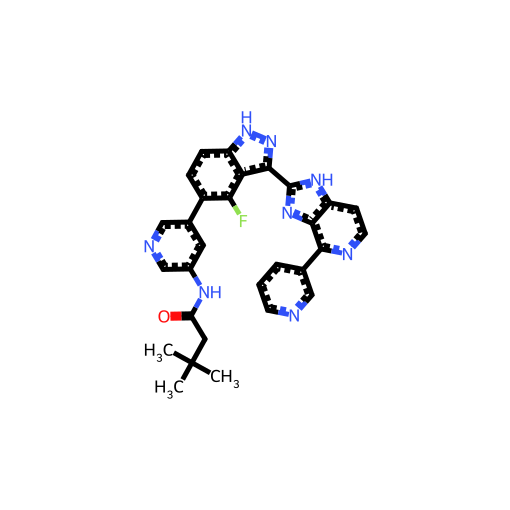 CC(C)(C)CC(=O)Nc1cncc(-c2ccc3[nH]nc(-c4nc5c(-c6cccnc6)nccc5[nH]4)c3c2F)c1